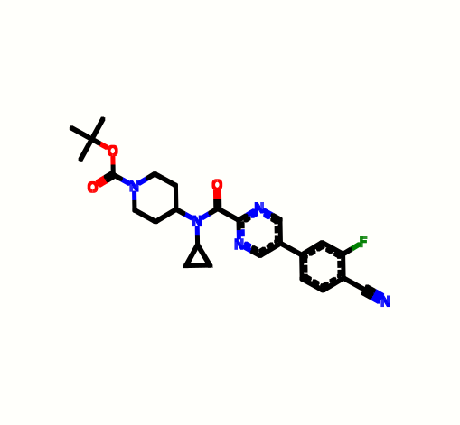 CC(C)(C)OC(=O)N1CCC(N(C(=O)c2ncc(-c3ccc(C#N)c(F)c3)cn2)C2CC2)CC1